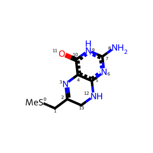 CSCC1=Nc2c(nc(N)[nH]c2=O)NC1